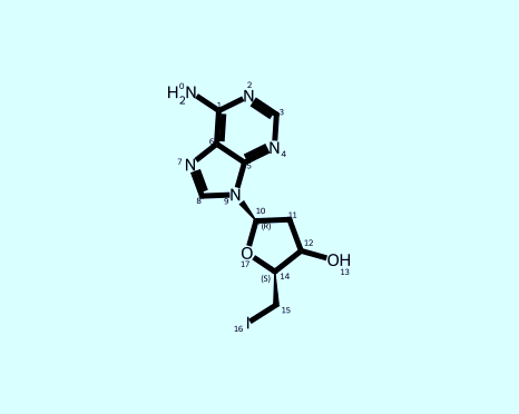 Nc1ncnc2c1ncn2[C@H]1CC(O)[C@@H](CI)O1